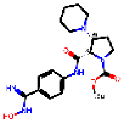 CC(C)(C)OC(=O)N1CC[C@@H](N2CCCCC2)[C@H]1C(=O)Nc1ccc(C(=N)NO)cc1